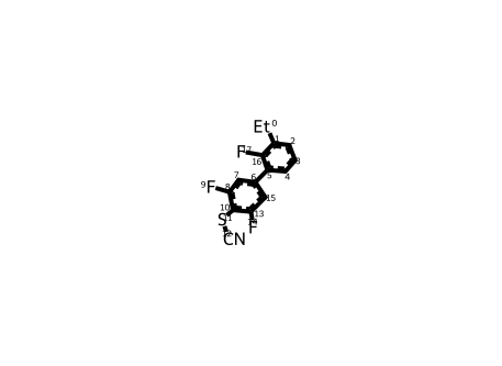 CCc1cccc(-c2cc(F)c(SC#N)c(F)c2)c1F